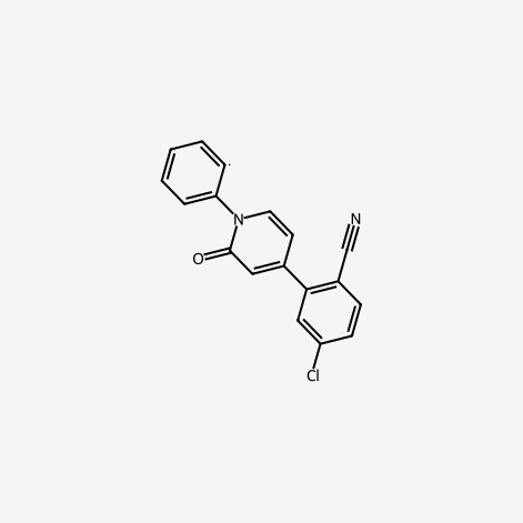 N#Cc1ccc(Cl)cc1-c1ccn(-c2[c]cccc2)c(=O)c1